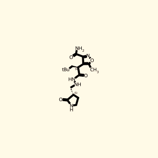 Cc1onc(C(N)=O)c1[C@H](CC(C)(C)C)C(=O)NNC[C@@H]1CCNC1=O